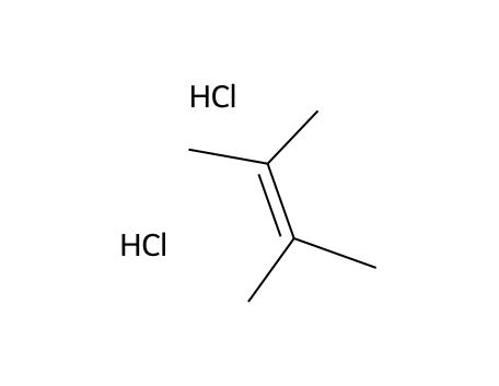 CC(C)=C(C)C.Cl.Cl